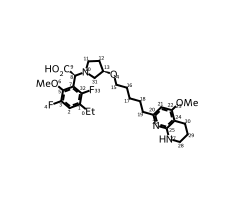 CCc1cc(F)c(OC)c([C@@H](C(=O)O)N2CC[C@@H](OCCCCCc3cc(OC)c4c(n3)NCCC4)C2)c1F